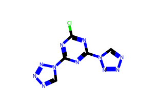 Clc1nc(-n2cnnn2)nc(-n2cnnn2)n1